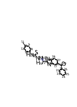 C/C(=N\NC(=S)Nc1ccc(C)cc1)c1nc2cc(C(=O)c3ccccc3)ccc2[nH]1